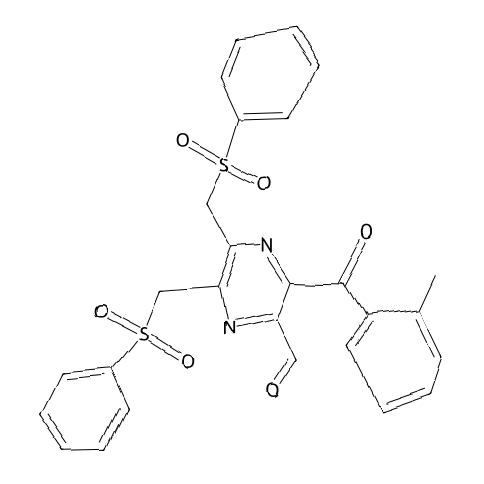 Cc1ccccc1C(=O)c1nc(CS(=O)(=O)c2ccccc2)c(CS(=O)(=O)c2ccccc2)nc1C=O